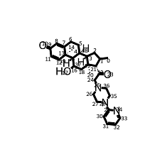 CC1C[C@H]2[C@@H]3CCC4=CC(=O)C=C[C@]4(C)[C@H]3C(O)C[C@]2(C)[C@H]1C(=O)CN1CCN(c2ccccn2)CC1